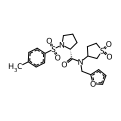 Cc1ccc(S(=O)(=O)N2CCC[C@@H]2C(=O)N(Cc2ccco2)C2CCS(=O)(=O)C2)cc1